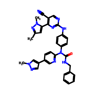 Cc1cc(-c2nc(Nc3ccc(N(C(=O)NCc4ccccc4)c4ccc(-c5cnn(C)c5)cn4)cc3)ncc2C#N)n(C)n1